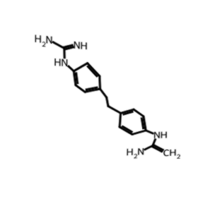 C=C(N)Nc1ccc(CCc2ccc(NC(=N)N)cc2)cc1